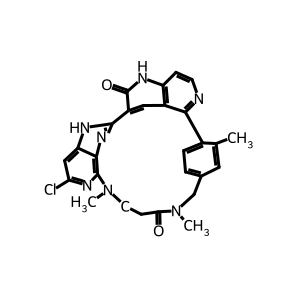 Cc1cc2ccc1-c1nccc3[nH]c(=O)c(cc13)-c1nc3c(nc(Cl)cc3[nH]1)N(C)CCC(=O)N(C)C2